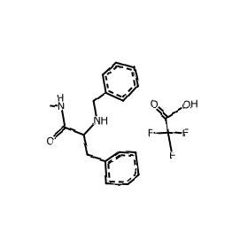 CNC(=O)C(Cc1ccccc1)NCc1ccccc1.O=C(O)C(F)(F)F